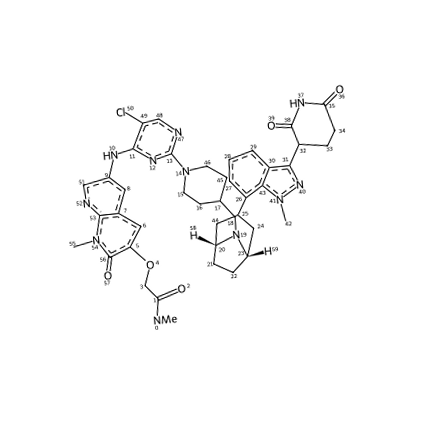 CNC(=O)COc1cc2cc(Nc3nc(N4CCC(CN5[C@@H]6CC[C@H]5CC(c5cccc7c(C8CCC(=O)NC8=O)nn(C)c57)C6)CC4)ncc3Cl)cnc2n(C)c1=O